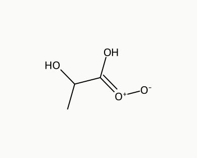 CC(O)C(O)=[O+][O-]